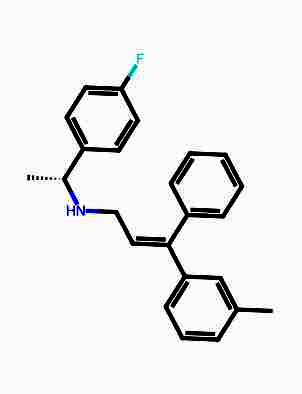 Cc1cccc(/C(=C/CN[C@H](C)c2ccc(F)cc2)c2ccccc2)c1